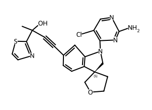 CC(O)(C#Cc1ccc2c(c1)N(c1nc(N)ncc1Cl)C[C@]21CCOC1)c1nccs1